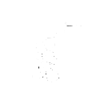 COC(=O)CCC[C@@H](C)[C@H]1CC[C@H]2[C@@H]3C[C@@H](O)[C@@]4(Br)C[C@@H](OC(C)=O)CC[C@]4(C)[C@H]3CC[C@]12C